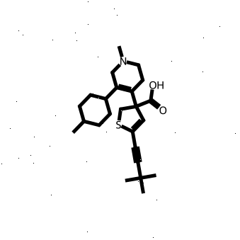 CC1CCC(C2=C(C3(C(=O)O)C=C(C#CC(C)(C)C)SC3)CCN(C)C2)CC1